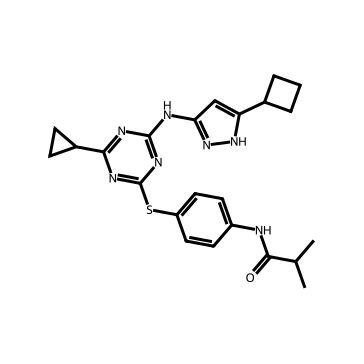 CC(C)C(=O)Nc1ccc(Sc2nc(Nc3cc(C4CCC4)[nH]n3)nc(C3CC3)n2)cc1